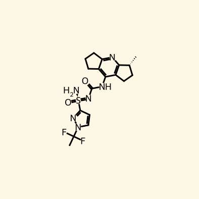 C[C@@H]1CCc2c1nc1c(c2NC(=O)N=[S@@](N)(=O)c2ccn(C(C)(F)F)n2)CCC1